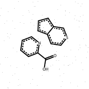 O=C(O)c1ccccn1.c1cc2ccscc-2c1